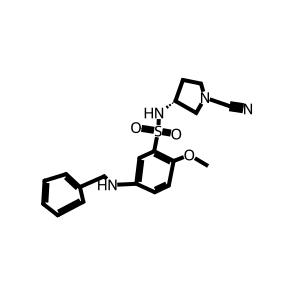 COc1ccc(NCc2ccccc2)cc1S(=O)(=O)N[C@@H]1CCN(C#N)C1